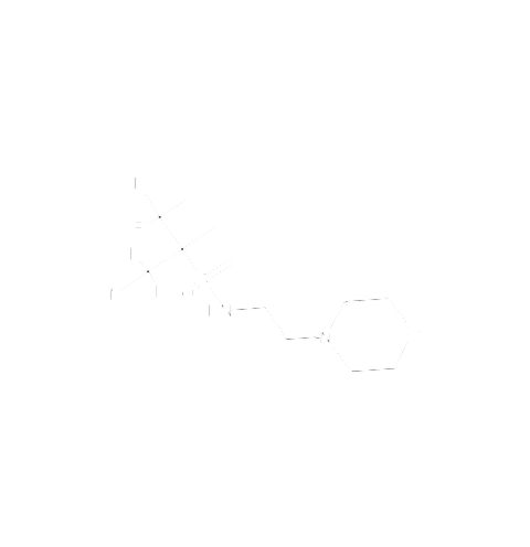 CC(C(F)(F)F)(C(F)(F)F)S(=O)(=O)NCCN1CCOCC1